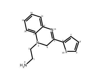 NCCN1CC(c2cccs2)=Nc2ccccc21